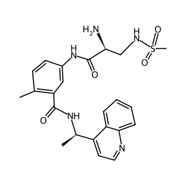 Cc1ccc(NC(=O)[C@@H](N)CNS(C)(=O)=O)cc1C(=O)N[C@H](C)c1ccnc2ccccc12